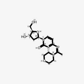 CC(=Nc1ccn([C@H]2C[C@H](O)[C@@H](CO)O2)c(=O)n1)N1CCOCC1